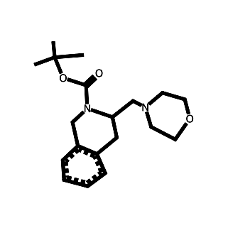 CC(C)(C)OC(=O)N1Cc2ccccc2CC1CN1CCOCC1